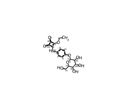 CCOc1c(Nc2ccc(O[C@@H]3OC(CO)C(O)[C@H](O)C3O)cc2)c(=O)c1=O